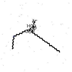 CCCCCCCC/C=C\CCCCCCCCOC[C@H](COP(=O)(O)OCC[N+](C)(C)C)OC(=O)CCCCCCCCCCCCCCCCCCCCCCC